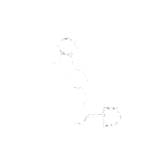 CCO/N=C(\CCN1CCN(c2ncccc2C#N)CC1)c1cccc(C)c1